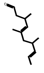 CC=CC(C)CC(C)=CC(C)C[C]=O